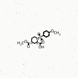 COC(=O)[C@@H]1CCN(S(=O)(=O)c2ccc(OC)cc2)[C@@H](C(=O)O)C1